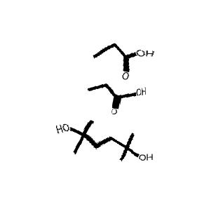 CC(C)(O)CCC(C)(C)O.CCC(=O)O.CCC(=O)O